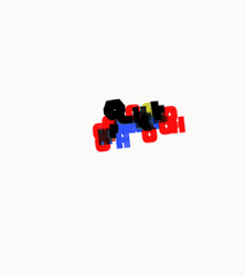 CC1(C)S[C@@H]2[C@H](NC(=O)C(NC(=O)C[N+](=O)[O-])c3ccccc3)C(=O)N2[C@H]1C(=O)O